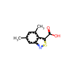 Cc1cc(C)c2c(C(=O)O)snc2c1